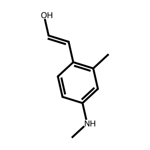 CNc1ccc(/C=C/O)c(C)c1